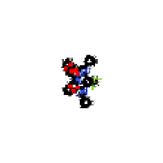 FC(F)(F)c1cc(-c2cc(-c3ccccc3)nc(-c3ccccc3)n2)c(-n2c3ccccc3c3cc(-c4ccccc4)ccc32)c(-c2nc(-c3ccccc3)cc(-c3ccccc3)n2)c1